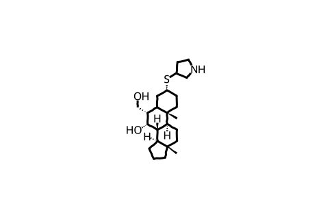 C[C@@]12CCC[C@H]1[C@@H]1[C@H](O)[C@H](CO)C3C[C@H](SC4CCNC4)CC[C@]3(C)[C@H]1CC2